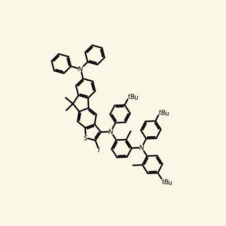 Cc1cc(C(C)(C)C)ccc1N(c1ccc(C(C)(C)C)cc1)c1cccc(N(c2ccc(C(C)(C)C)cc2)c2c(I)sc3cc4c(cc23)-c2ccc(N(c3ccccc3)c3ccccc3)cc2C4(C)C)c1C